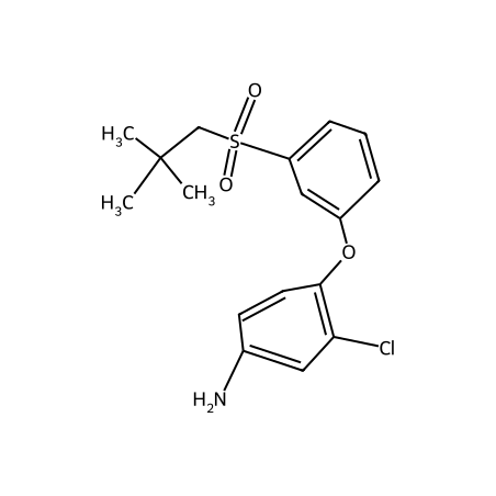 CC(C)(C)CS(=O)(=O)c1cccc(Oc2ccc(N)cc2Cl)c1